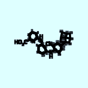 O=C(O)c1cccc(Nc2cccc(Nc3ccc(C45CC6CC7CC(C4)C765)cc3Cl)c2)n1